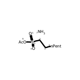 CCCCCCCS(=O)(=O)OC(C)=O.N